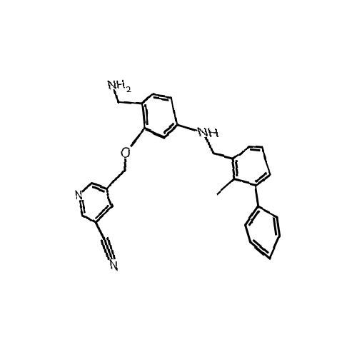 Cc1c(CNc2ccc(CN)c(OCc3cncc(C#N)c3)c2)cccc1-c1ccccc1